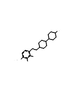 CCCCCc1ccc(CCC2CCC(C3CCC(CCC)CC3)CC2)c(F)c1F